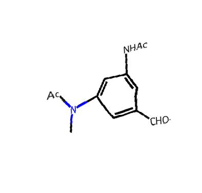 CC(=O)Nc1cc([C]=O)cc(N(C)C(C)=O)c1